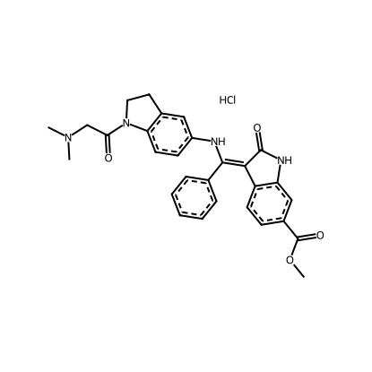 COC(=O)c1ccc2c(c1)NC(=O)/C2=C(\Nc1ccc2c(c1)CCN2C(=O)CN(C)C)c1ccccc1.Cl